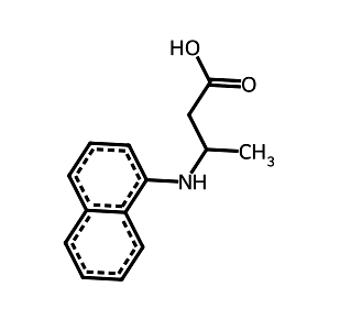 CC(CC(=O)O)Nc1cccc2ccccc12